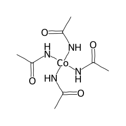 CC(=O)[NH][Co]([NH]C(C)=O)([NH]C(C)=O)[NH]C(C)=O